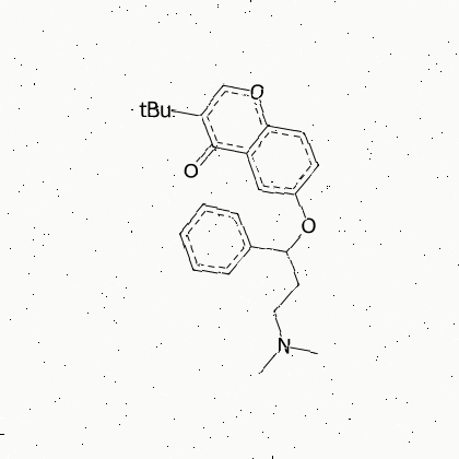 CN(C)CCC(Oc1ccc2occ(C(C)(C)C)c(=O)c2c1)c1ccccc1